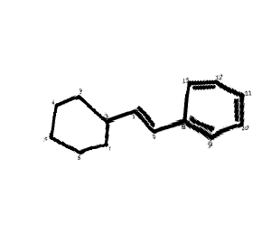 C(=CC1CCCCC1)c1ccccc1